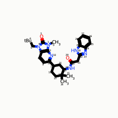 Cn1c(=O)n(CC(C)(C)C)c2ccc(C3CCC(C)(C)C(NC(=O)Cc4nc5ccccc5[nH]4)C3)nc21